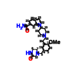 COc1ccc(CN2CCNC(=O)C2)cc1CCN1CCC(n2ccc3ccc(C(N)=O)cc32)CC1